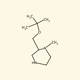 CN1CCNCC1COC(C)(C)C